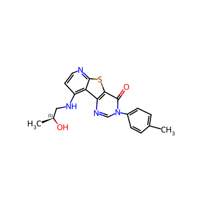 Cc1ccc(-n2cnc3c(sc4nccc(NC[C@H](C)O)c43)c2=O)cc1